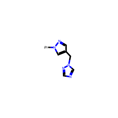 CC(C)n1cc(Cn2cncn2)cn1